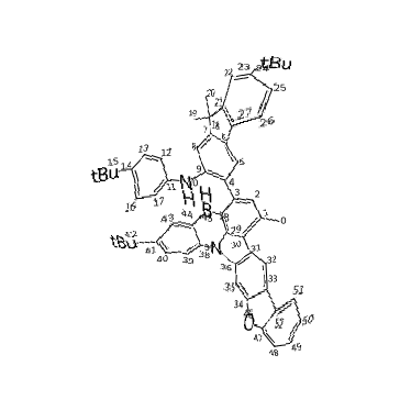 Cc1cc(-c2cc3c(cc2Nc2ccc(C(C)(C)C)cc2)C(C)(C)c2cc(C(C)(C)C)ccc2-3)c2c3c1c1cc4c(cc1n3-c1ccc(C(C)(C)C)cc1B2)oc1ccccc14